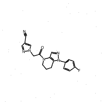 N#Cc1cnn(CC(=O)N2CCCc3c2cnn3-c2ccc(F)cc2)c1